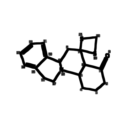 O=C1CCCC2C1C1(CC3c4ccccc4CCN32)SCS1